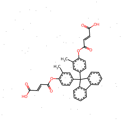 Cc1cc(C2(c3ccc(OC(=O)C=CC(=O)O)c(C)c3)c3ccccc3-c3ccccc32)ccc1OC(=O)C=CC(=O)O